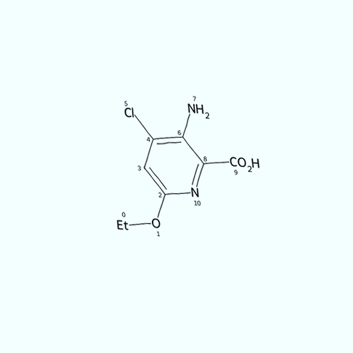 CCOc1cc(Cl)c(N)c(C(=O)O)n1